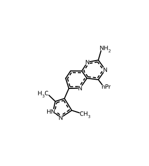 CCCc1nc(N)nc2ccc(-c3c(C)n[nH]c3C)nc12